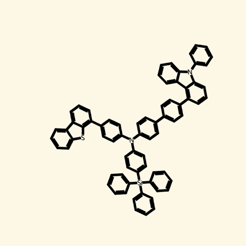 c1ccc(-n2c3ccccc3c3c(-c4ccc(-c5ccc(N(c6ccc(-c7cccc8c7sc7ccccc78)cc6)c6ccc([Si](c7ccccc7)(c7ccccc7)c7ccccc7)cc6)cc5)cc4)cccc32)cc1